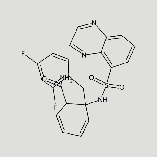 NC(=O)C1C=CC=CC1(Cc1ccc(F)cc1F)NS(=O)(=O)c1cccc2nccnc12